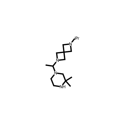 CC(C)N1CC2(C1)CN(C(C)N1CCNC(C)(C)C1)C2